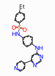 CCc1ccc(S(=O)(=O)Nc2ccc(Nc3cc(-c4ccncc4)ncn3)cc2)cc1